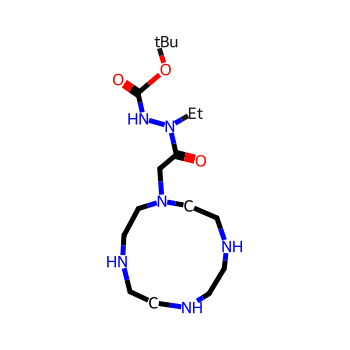 CCN(NC(=O)OC(C)(C)C)C(=O)CN1CCNCCNCCNCC1